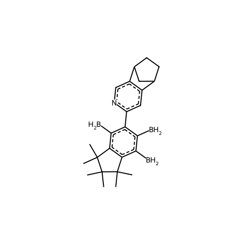 Bc1c(B)c2c(c(B)c1-c1cc3c(cn1)C1CCC3C1)C(C)(C)C(C)(C)C2(C)C